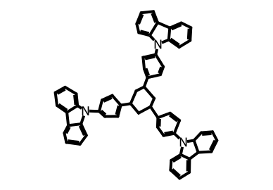 C1=CC2c3ccccc3N(c3ccc(C4CC(c5ccc(-n6c7ccccc7c7ccccc76)cc5)CC(c5ccc(-n6c7ccccc7c7ccccc76)cc5)C4)cc3)C2C=C1